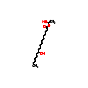 CCCCCCC(O)CCCCCCCCCCC(=O)OC(C)O